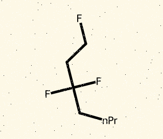 [CH2]CCCC(F)(F)CCF